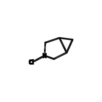 ClN1CC2CC2C1